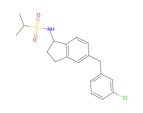 CC(C)S(=O)(=O)NC1CCc2cc(Cc3cccc(Cl)c3)ccc21